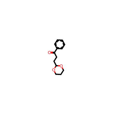 O=C(CCC1OCCCO1)c1ccccc1